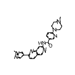 CN1CCN(c2ccc(C(=O)Nc3cc4nc(-c5cnn(C)c5)ccc4cn3)cn2)CC1